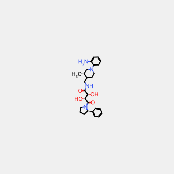 C[C@@H]1CN(c2ccccc2N)CCC1CNC(=O)[C@H](O)[C@@H](O)C(=O)N1CCC[C@@H]1c1ccccc1